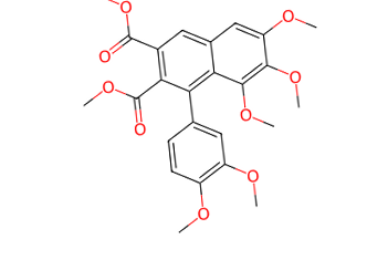 COC(=O)c1cc2cc(OC)c(OC)c(OC)c2c(-c2ccc(OC)c(OC)c2)c1C(=O)OC